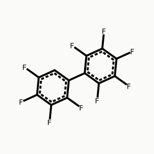 Fc1cc(-c2c(F)c(F)c(F)c(F)c2F)c(F)c(F)c1F